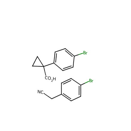 N#CCc1ccc(Br)cc1.O=C(O)C1(c2ccc(Br)cc2)CC1